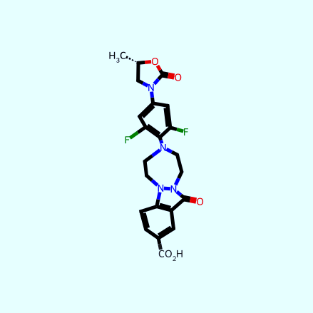 C[C@H]1CN(c2cc(F)c(N3CCn4c(=O)c5cc(C(=O)O)ccc5n4CC3)c(F)c2)C(=O)O1